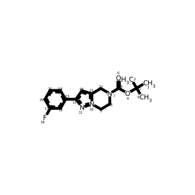 CC(C)(C)OC(=O)N1CCn2nc(-c3cccc(F)c3)cc2C1